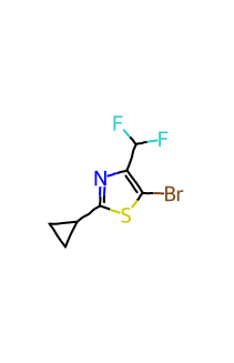 FC(F)c1nc(C2CC2)sc1Br